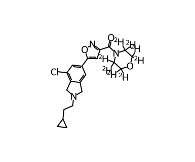 [2H]C1([2H])OC([2H])([2H])C([2H])([2H])N(C(=O)c2cc(-c3cc(Cl)c4c(c3)CN(CCC3CC3)C4)on2)C1([2H])[2H]